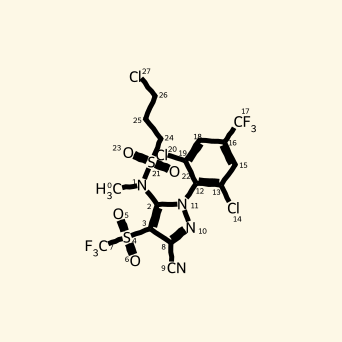 CN(c1c(S(=O)(=O)C(F)(F)F)c(C#N)nn1-c1c(Cl)cc(C(F)(F)F)cc1Cl)S(=O)(=O)CCCCl